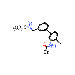 CCC(=O)Nc1cc(-c2cccc(CNC(=O)O)c2)ccc1C